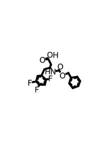 O=C(O)CC(Cc1cc(F)c(F)cc1F)NC(=O)OCc1ccccc1